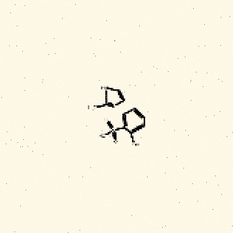 Cc1ncc[nH]1.O=S(=O)(O)c1ccccc1O